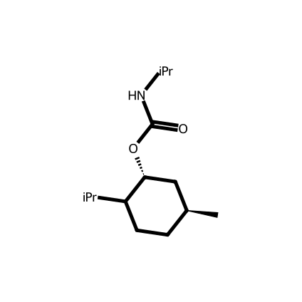 CC(C)NC(=O)O[C@@H]1C[C@@H](C)CCC1C(C)C